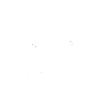 Cc1ccc(OCc2ccc3c(c2C)CCN(C2COC2)C3)c(-c2csc(N3CC[C@@]4(C(=O)O)C[C@H]4C3)n2)c1